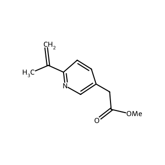 C=C(C)c1ccc(CC(=O)OC)cn1